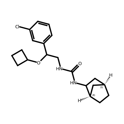 O=C(NCC(OC1CCC1)c1cccc(Cl)c1)NC1C[C@H]2CC[C@@H]1C2